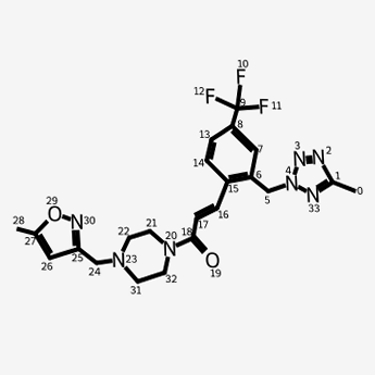 Cc1nnn(Cc2cc(C(F)(F)F)ccc2C=CC(=O)N2CCN(Cc3cc(C)on3)CC2)n1